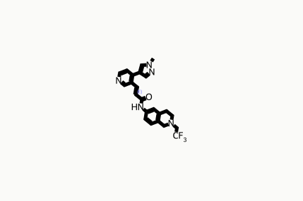 Cn1cc(-c2ccncc2/C=C/C(=O)Nc2ccc3c(c2)CCN(CC(F)(F)F)C3)cn1